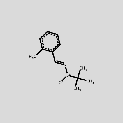 Cc1ccccc1C=N[S+]([O-])C(C)(C)C